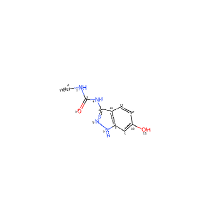 CCCCNC(=O)Nc1n[nH]c2cc(O)ccc12